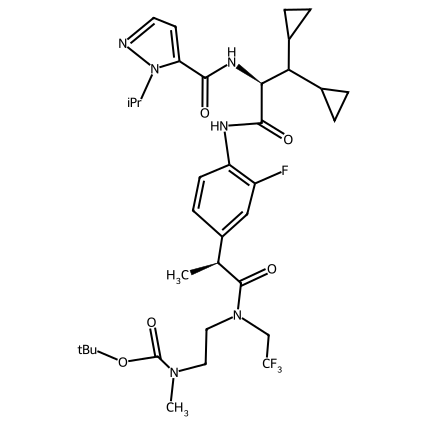 CC(C)n1nccc1C(=O)N[C@H](C(=O)Nc1ccc([C@H](C)C(=O)N(CCN(C)C(=O)OC(C)(C)C)CC(F)(F)F)cc1F)C(C1CC1)C1CC1